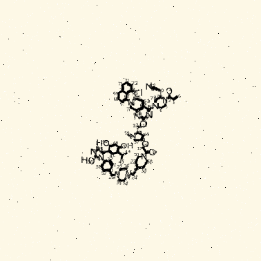 C=CC(=O)N1CCN(c2nc(OC[C@@H]3C[C@@H](OCC(=O)N4CCC(CN5CCN(Cc6ccc(-n7c(O)nnc7-c7cc(C(C)C)c(O)cc7O)cc6)CC5)CC4)CN3C)nc3c2CCN(c2cccc4cccc(Cl)c24)C3)C[C@@H]1CC#N